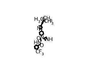 C[Si](C)(C)C#Cc1cnn(C2CCC(N(C(=O)CNC(=O)c3cccc(C(F)(F)F)c3)C3CNC3)CC2)c1